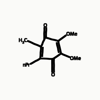 [CH2]CCC1=C(C)C(=O)C(OC)=C(OC)C1=O